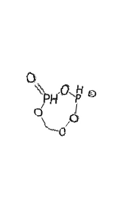 O=[PH]1OCOO[PH](=O)O1